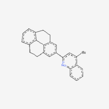 CC(C)(C)c1cc(-c2cc3c4c(c2)CCc2cccc(c2-4)CC3)nc2ccccc12